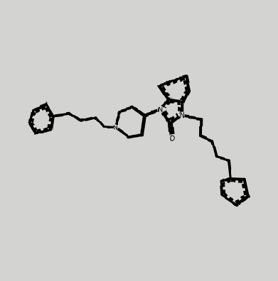 O=c1n(CCCCCc2ccccc2)c2ccccc2n1C1CCN(CCCCc2ccccc2)CC1